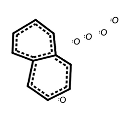 [O].[O].[O].[O].[O].c1ccc2ccccc2c1